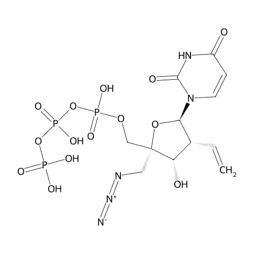 C=C[C@H]1[C@H](n2ccc(=O)[nH]c2=O)O[C@](CN=[N+]=[N-])(COP(=O)(O)OP(=O)(O)OP(=O)(O)O)[C@H]1O